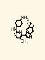 Cc1cnc(NC2CCC(N)CC2)nc1-c1cnc2ccc(C(F)(F)F)cn12